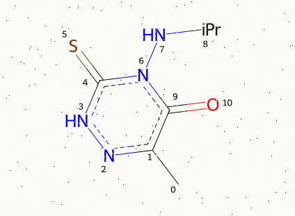 Cc1n[nH]c(=S)n(NC(C)C)c1=O